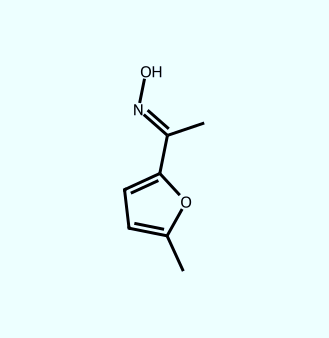 CC(=NO)c1ccc(C)o1